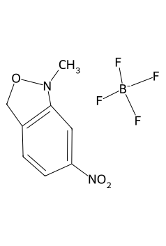 CN1OCc2ccc([N+](=O)[O-])cc21.F[B-](F)(F)F